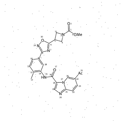 COC(=O)N1CC(c2nc(-c3ccc(C)c(NC(=O)c4cnc5ccc(C(C)=O)cn45)c3)no2)C1